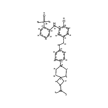 CN(C)C1CC2(CCN(c3ccc(CCc4ncc(Cl)c(Nc5ccccc5P(C)(C)=O)n4)cc3)CC2)C1